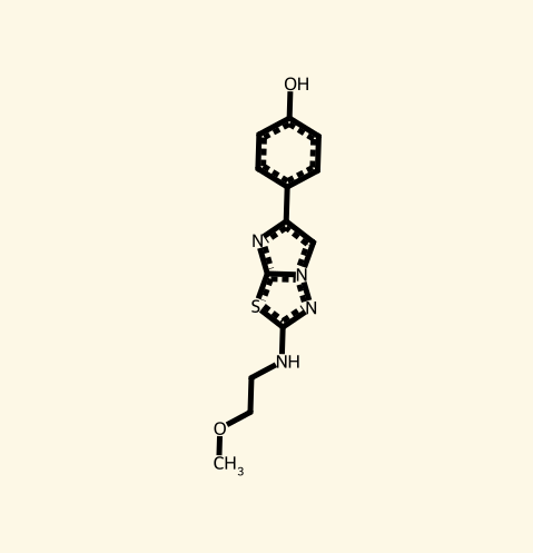 COCCNc1nn2cc(-c3ccc(O)cc3)nc2s1